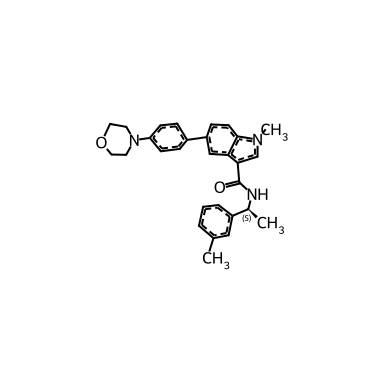 Cc1cccc([C@H](C)NC(=O)c2cn(C)c3ccc(-c4ccc(N5CCOCC5)cc4)cc23)c1